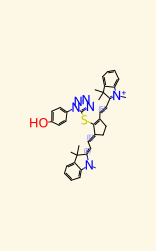 CN1/C(=C/C=C2\CCC(/C=C/C3=[N+](C)c4ccccc4C3(C)C)=C2Sc2nnnn2-c2ccc(O)cc2)C(C)(C)c2ccccc21